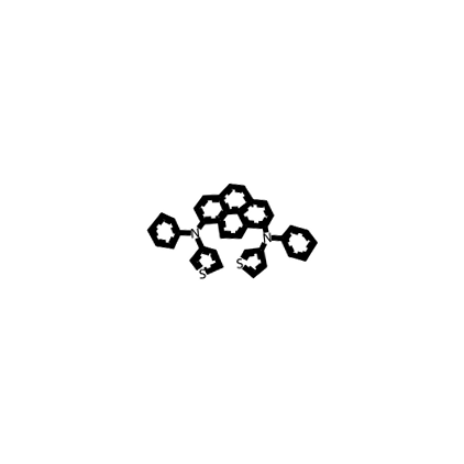 c1ccc(N(c2ccsc2)c2ccc3ccc4ccc(N(c5ccccc5)c5ccsc5)c5ccc2c3c45)cc1